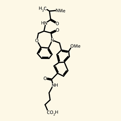 CNC(C)C(=O)NC1COc2ccccc2N(Cc2cc3cc(C(=O)NCCCC(=O)O)ccc3cc2OC)C1=O